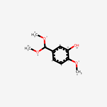 COc1ccc(C(OC)OC)cc1O